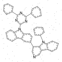 c1ccc(-c2nc(-c3ccccc3)nc(-n3c4ccccc4c4cc(-c5cncc6c7ccccc7n(-c7ccccc7)c56)ccc43)n2)cc1